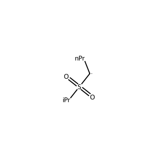 CCC[CH]S(=O)(=O)C(C)C